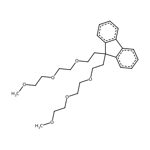 COCCOCCOCCC1(CCOCCOCCOC)c2ccccc2-c2ccccc21